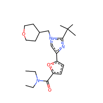 CCN(CC)C(=O)c1ccc(-c2cn(CC3CCOCC3)c(C(C)(C)C)n2)o1